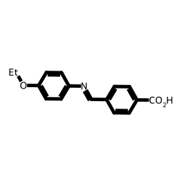 CCOc1ccc(/N=C/c2ccc(C(=O)O)cc2)cc1